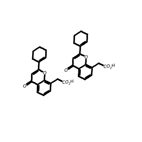 O=C(O)Cc1cccc2c(=O)cc(C3=CCCCC3)oc12.O=C(O)Cc1cccc2c(=O)cc(C3=CCCCC3)oc12